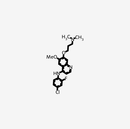 COc1cc2c(Nc3ccc(Cl)cc3F)ccnc2cc1OCCCN(C)C